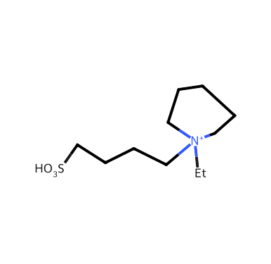 CC[N+]1(CCCCS(=O)(=O)O)CCCCC1